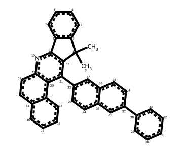 CC1(C)c2ccccc2-c2nc3ccc4ccccc4c3c(-c3ccc4cc(-c5ccccc5)ccc4c3)c21